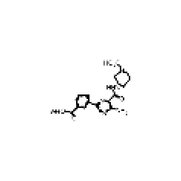 COC(=O)c1cccc(-c2cnc(N)c(C(=O)N[C@H]3CCCN(C(=O)O)C3)n2)c1